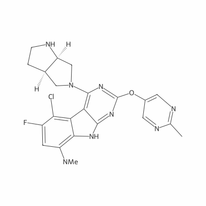 CNc1cc(F)c(Cl)c2c1[nH]c1nc(Oc3cnc(C)nc3)nc(N3C[C@H]4CCN[C@H]4C3)c12